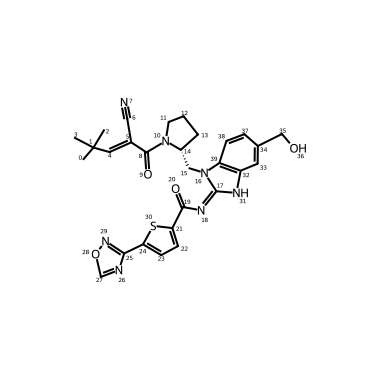 CC(C)(C)C=C(C#N)C(=O)N1CCC[C@@H]1Cn1c(=NC(=O)c2ccc(-c3ncon3)s2)[nH]c2cc(CO)ccc21